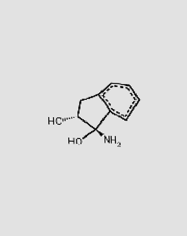 N[C@]1(O)c2ccccc2C[C@H]1O